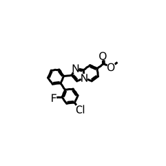 COC(=O)c1ccn2cc(-c3ccccc3-c3ccc(Cl)cc3F)nc2c1